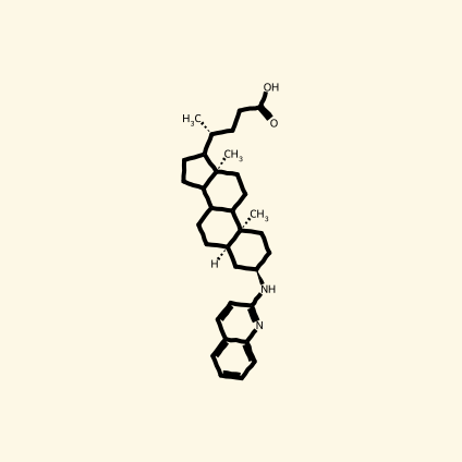 C[C@H](CCC(=O)O)C1CCC2C3CC[C@@H]4C[C@H](Nc5ccc6ccccc6n5)CC[C@]4(C)C3CC[C@@]21C